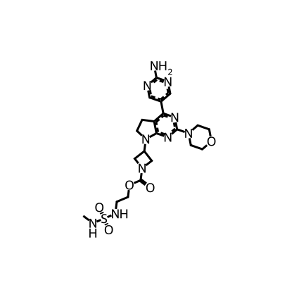 CNS(=O)(=O)NCCOC(=O)N1CC(N2CCc3c(-c4cnc(N)nc4)nc(N4CCOCC4)nc32)C1